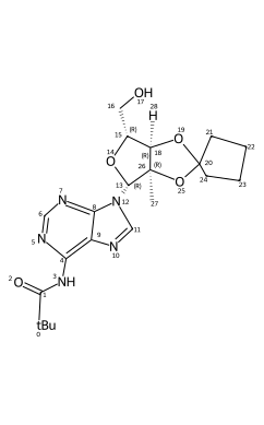 CC(C)(C)C(=O)Nc1ncnc2c1ncn2[C@@H]1O[C@H](CO)[C@H]2OC3(CCCC3)O[C@]21C